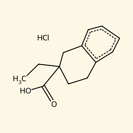 CCC1(C(=O)O)CCc2ccccc2C1.Cl